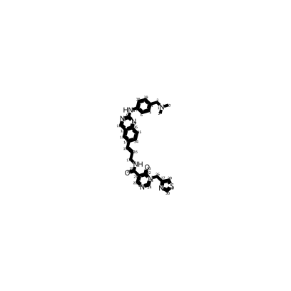 CN(C)Cc1ccc(Nc2ncc3cc(/C=C/CNC(=O)c4cncn(Cc5cscn5)c4=O)ccc3n2)cc1